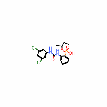 CCC(C)OP(=O)(O)c1ccccc1NC(=O)Nc1cc(Cl)cc(Cl)c1